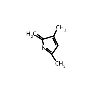 C=C1N=C(C)C=C1C